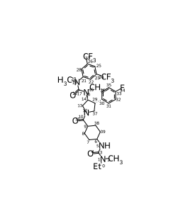 CCN(C)C(=O)NC1CCC(C(=O)N2C[C@@H](N(C)C(=O)N(C)c3cc(C(F)(F)F)cc(C(F)(F)F)c3)[C@H](c3ccc(F)cc3)C2)CC1